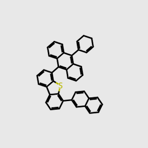 C1=CC(c2c3ccccc3c(-c3cccc4c3sc3c(-c5ccc6ccccc6c5)cccc34)c3ccccc23)=CCC1